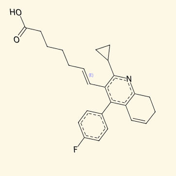 O=C(O)CCCC/C=C/c1c(C2CC2)nc2c(c1-c1ccc(F)cc1)C=CCC2